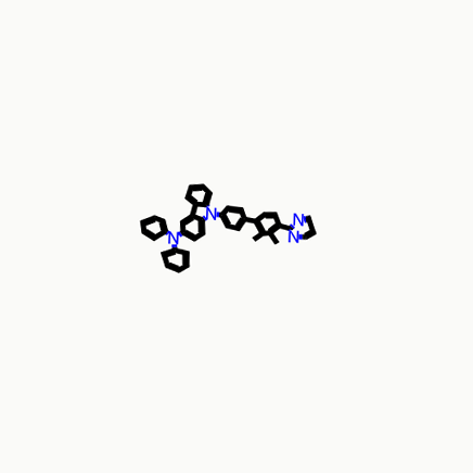 Cc1c(-c2ccc(-n3c4ccccc4c4cc(N(c5ccccc5)c5ccccc5)ccc43)cc2)ccc(-c2ncccn2)c1C